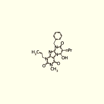 C=CCn1c(=O)n(C)c(=O)c2c1nc1n(Cc3ccccc3)c(=O)c(CCC)c(O)n21